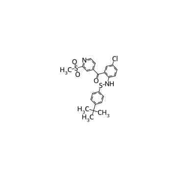 CC(C)(C)c1ccc(SNc2ccc(Cl)cc2C(=O)c2ccnc(S(C)(=O)=O)c2)cc1